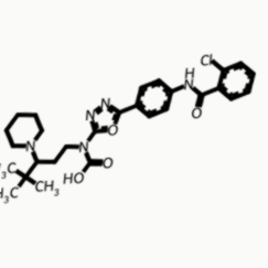 CC(C)(C)C(CCN(C(=O)O)c1nnc(-c2ccc(NC(=O)c3ccccc3Cl)cc2)o1)N1CCCCC1